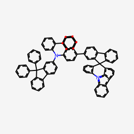 c1ccc(-c2ccccc2N(c2ccc3c(c2)C(c2ccccc2)(c2ccccc2)c2ccccc2-3)c2ccc(-c3ccc4c(c3)C3(c5ccccc5-4)c4ccccc4-n4c5ccccc5c5cccc3c54)c3ccccc23)cc1